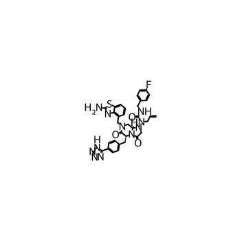 C=CCN(C(=O)NCc1ccc(F)cc1)N1CC(=O)N2[C@@H](Cc3ccc(-c4nnn[nH]4)cc3)C(=O)N(Cc3cccc4sc(N)nc34)C[C@@H]21